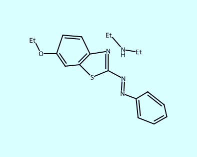 CCNCC.CCOc1ccc2nc(N=Nc3ccccc3)sc2c1